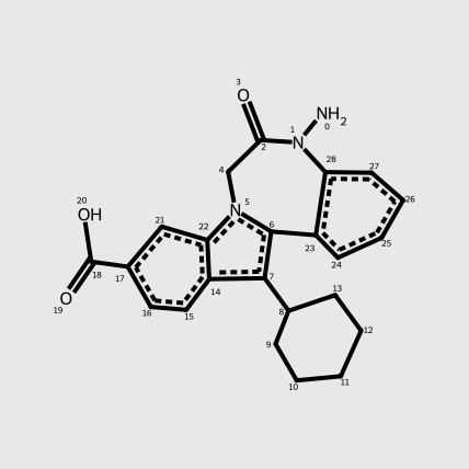 NN1C(=O)Cn2c(c(C3CCCCC3)c3ccc(C(=O)O)cc32)-c2ccccc21